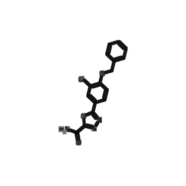 NC(=O)c1nnc(-c2ccc(OCc3ccccc3)c(Cl)c2)o1